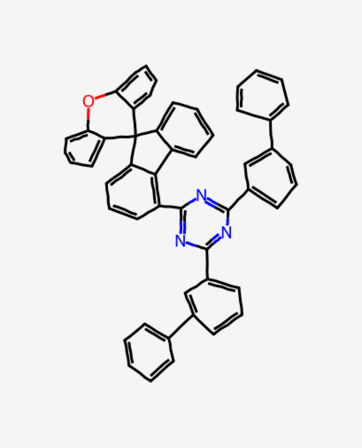 c1ccc(-c2cccc(-c3nc(-c4cccc(-c5ccccc5)c4)nc(-c4cccc5c4-c4ccccc4C54c5ccccc5Oc5ccccc54)n3)c2)cc1